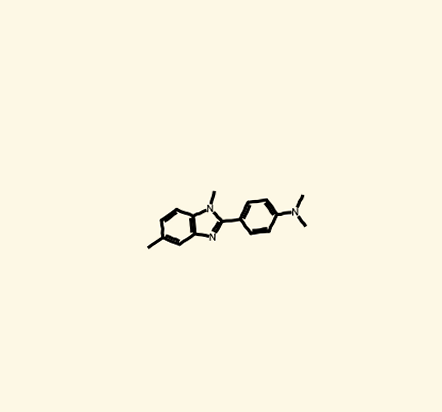 Cc1ccc2c(c1)nc(-c1ccc(N(C)C)cc1)n2C